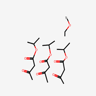 CC(=O)CC(=O)OC(C)C.CC(=O)CC(=O)OC(C)C.CC(=O)CC(=O)OC(C)C.CC[O][Ti]